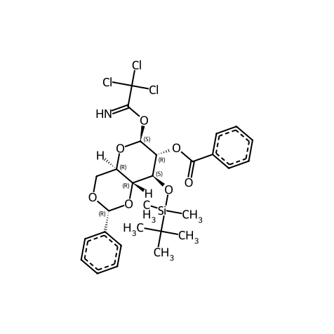 CC(C)(C)[Si](C)(C)O[C@@H]1[C@@H](OC(=O)c2ccccc2)[C@H](OC(=N)C(Cl)(Cl)Cl)O[C@@H]2CO[C@@H](c3ccccc3)O[C@@H]12